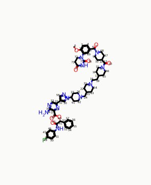 COc1ccc(C(=O)N2CCC(C(=O)N3CCC(CCN4CCC(CN5CCC(n6cc(-c7cnc(N)c(C(=O)O[C@@H](C(=O)Nc8ccc(F)cc8)c8ccccc8)n7)cn6)CC5)CC4)CC3)CC2)cc1N1CCC(=O)NC1=O